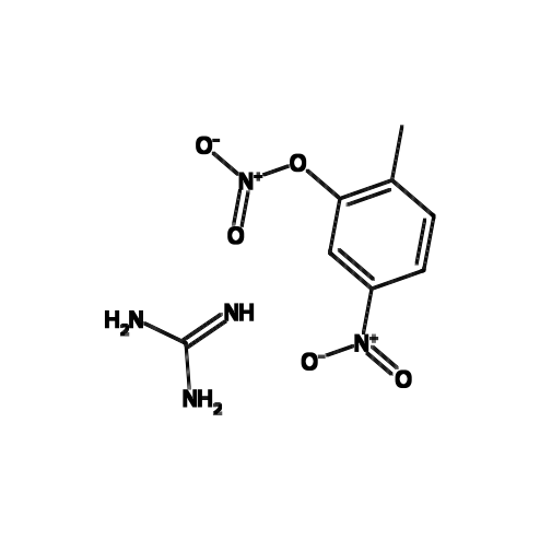 Cc1ccc([N+](=O)[O-])cc1O[N+](=O)[O-].N=C(N)N